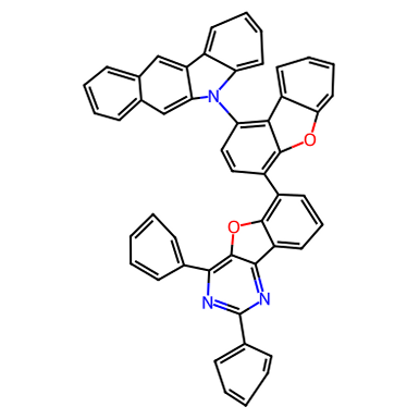 c1ccc(-c2nc(-c3ccccc3)c3oc4c(-c5ccc(-n6c7ccccc7c7cc8ccccc8cc76)c6c5oc5ccccc56)cccc4c3n2)cc1